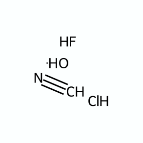 C#N.Cl.F.[OH]